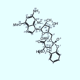 CCOC(=O)c1ccccc1OP(=O)(N[C@@H](C)C(=O)OC)OC[C@H]1O[C@@H](n2cnc3c(OC)nc(N)nc32)[C@](C)(C#N)[C@@H]1O